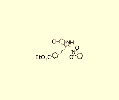 CCOC(=O)c1ccc(CCCc2c(CCN3C(=O)c4ccccc4C3=O)[nH]c3ccc(Cl)cc23)cc1